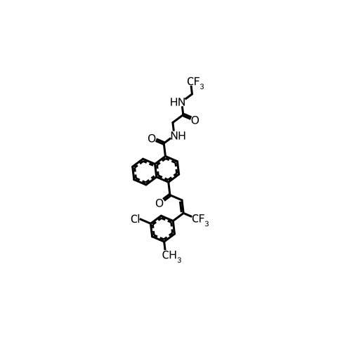 Cc1cc(Cl)cc(C(=CC(=O)c2ccc(C(=O)NCC(=O)NCC(F)(F)F)c3ccccc23)C(F)(F)F)c1